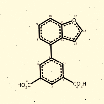 O=C(O)c1cc(C(=O)O)cc(-c2cccc3occc23)c1